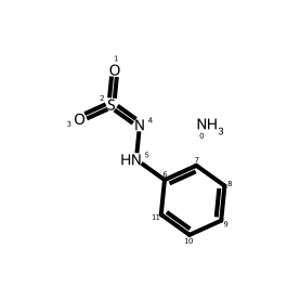 N.O=S(=O)=NNc1ccccc1